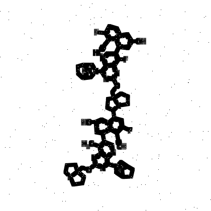 C#Cc1c(F)ccc2cc(O)cc(-c3cnc4c(N5CC6CCC(C5)N6)nc(OCC56CCCN5C(c5cc(F)c(C#C)c7c(-c8cnc9c(N%10CC%11CCC(C%10)N%11)nc(OCC%10%11CCCN%10CCC%11)nc9c8C)cc(O)cc57)CC6)nc4c3F)c12